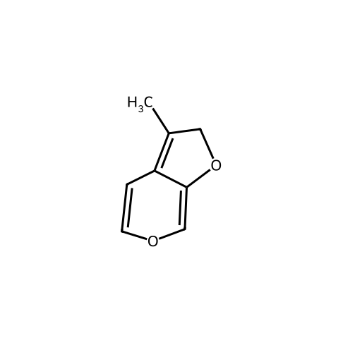 CC1=C2C=COC=C2OC1